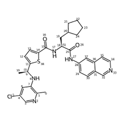 Cc1ncc(Cl)cc1N[C@@H](C)c1ccc(C(=O)N[C@@H](CC2CCCC2)C(=O)Nc2ccc3cnccc3c2)s1